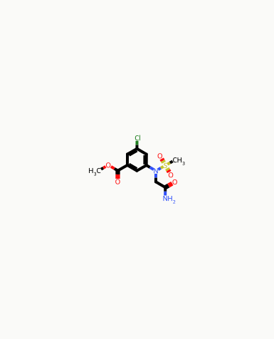 COC(=O)c1cc(Cl)cc(N(CC(N)=O)S(C)(=O)=O)c1